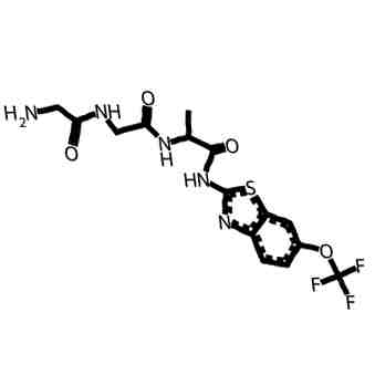 CC(NC(=O)CNC(=O)CN)C(=O)Nc1nc2ccc(OC(F)(F)F)cc2s1